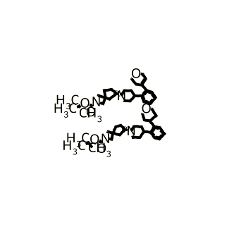 CC(C)(C)OC(=O)N1CC2(CC[C@@H](N3CCC(c4ccccc4C4=CCOCC4)CC3)C2)C1.CC(C)(C)OC(=O)N1CC2(CC[C@@H](N3CCC(c4ccccc4C4CCOCC4)CC3)C2)C1